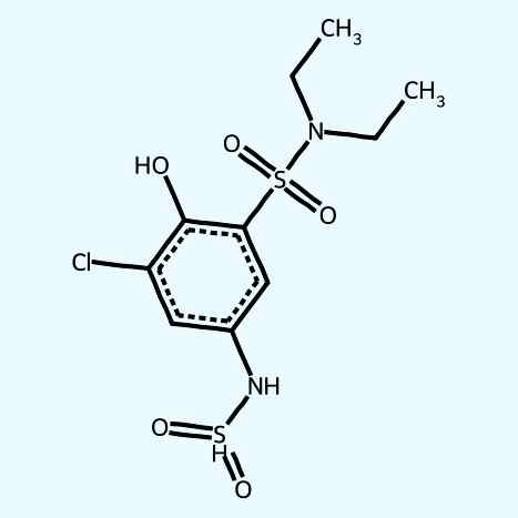 CCN(CC)S(=O)(=O)c1cc(N[SH](=O)=O)cc(Cl)c1O